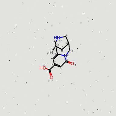 O=C(O)c1cc2n(c(=O)c1)CC1CNC[C@@H]2C1